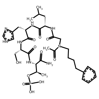 CC(=O)N(CCCCc1ccccc1)CC(=O)N[C@@H](CC(C)C)C(=O)N[C@@H](Cc1c[nH]cn1)C(=O)N[C@@H](CO)C(=O)N[C@H](C(N)=O)[C@@H](C)OP(=O)(O)O